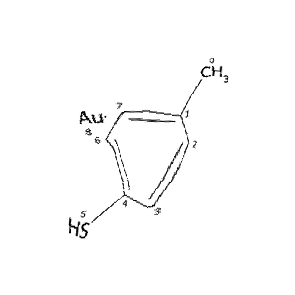 Cc1ccc(S)cc1.[Au]